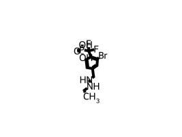 CCNNCc1ccc(C(F)(F)P(=O)(O)O)c(Br)c1